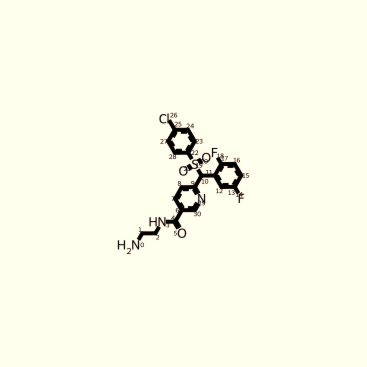 NCCNC(=O)c1ccc(C(c2cc(F)ccc2F)S(=O)(=O)c2ccc(Cl)cc2)nc1